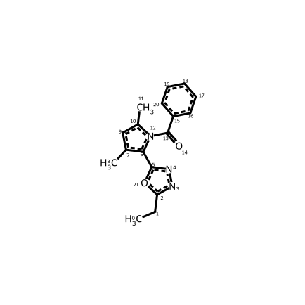 CCc1nnc(-c2c(C)[c]c(C)n2C(=O)c2ccccc2)o1